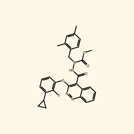 COC(=O)N(Cc1ccc(C)cc1C)NC(=O)c1c(Oc2cccc(C3CC3)c2F)nnc2ccccc12